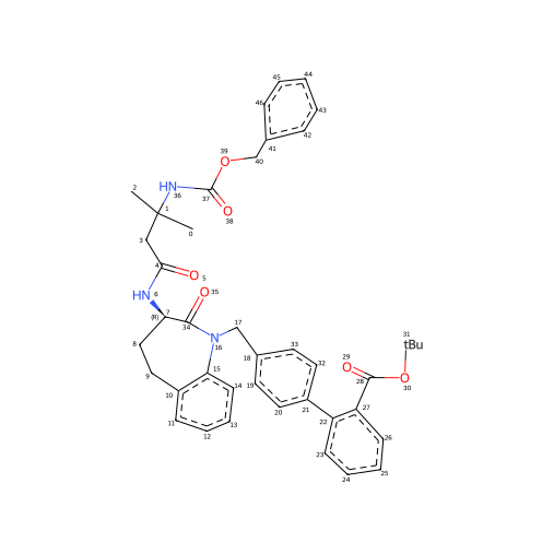 CC(C)(CC(=O)N[C@@H]1CCc2ccccc2N(Cc2ccc(-c3ccccc3C(=O)OC(C)(C)C)cc2)C1=O)NC(=O)OCc1ccccc1